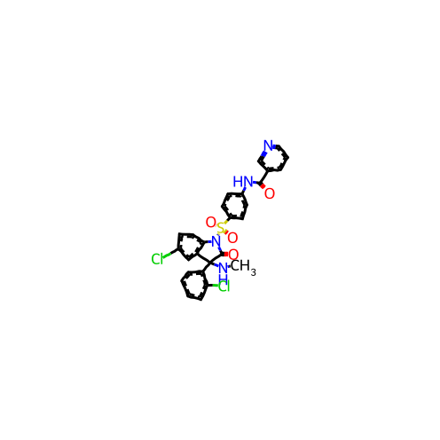 CNC1(c2ccccc2Cl)C(=O)N(S(=O)(=O)c2ccc(NC(=O)c3cccnc3)cc2)c2ccc(Cl)cc21